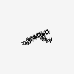 CC(C)NC(=O)Cn1c(-c2ccccc2)nc2ccc(N3CC4CN(C(=O)OC(C)(C)C)CC4C3)cc2c1=O